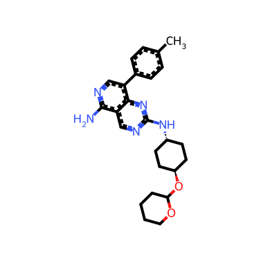 Cc1ccc(-c2cnc(N)c3cnc(N[C@H]4CC[C@H](OC5CCCCO5)CC4)nc23)cc1